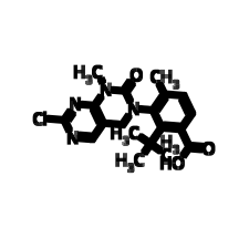 Cc1ccc(C(=O)O)c(C(C)(C)C)c1N1Cc2cnc(Cl)nc2N(C)C1=O